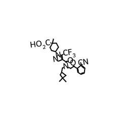 CC1(C)CC(CN(CC(=O)c2ccccc2C#N)C(=O)c2cnn([C@H]3CC[C@](C)(C(=O)O)CC3)c2C(F)(F)F)C1